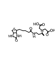 C=C(CCNC(=O)CCCCC1SCC2NC(=O)NC21)N(CC(=O)O)CC(=O)O